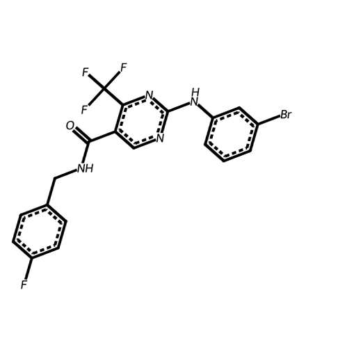 O=C(NCc1ccc(F)cc1)c1cnc(Nc2cccc(Br)c2)nc1C(F)(F)F